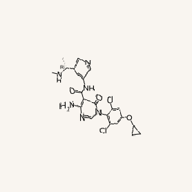 CN[C@H](C)c1cncc(NC(=O)c2c(N)ncn(-c3c(Cl)cc(OC4CC4)cc3Cl)c2=O)c1